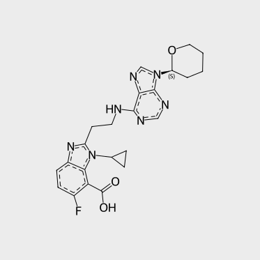 O=C(O)c1c(F)ccc2nc(CCNc3ncnc4c3ncn4[C@@H]3CCCCO3)n(C3CC3)c12